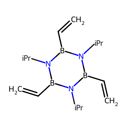 C=CB1N(C(C)C)B(C=C)N(C(C)C)B(C=C)N1C(C)C